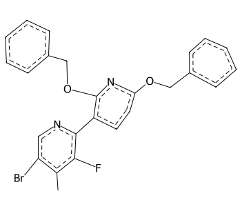 Cc1c(Br)cnc(-c2ccc(OCc3ccccc3)nc2OCc2ccccc2)c1F